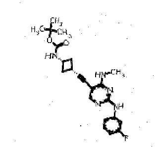 CNc1nc(Nc2cccc(F)c2)ncc1C#C[C@H]1C[C@@H](NC(=O)OC(C)(C)C)C1